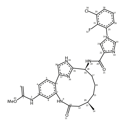 C=C(Nc1ccc2c(c1)NC(=O)C[C@H](C)CCC[C@H](NC(=O)c1cn(-c3cccc(Cl)c3F)cn1)c1nc-2c[nH]1)OC